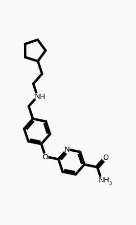 NC(=O)c1ccc(Oc2ccc(CNCCC3CCCC3)cc2)nc1